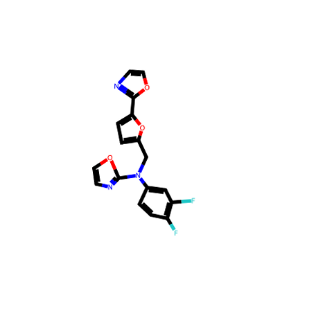 Fc1ccc(N(Cc2ccc(-c3ncco3)o2)c2ncco2)cc1F